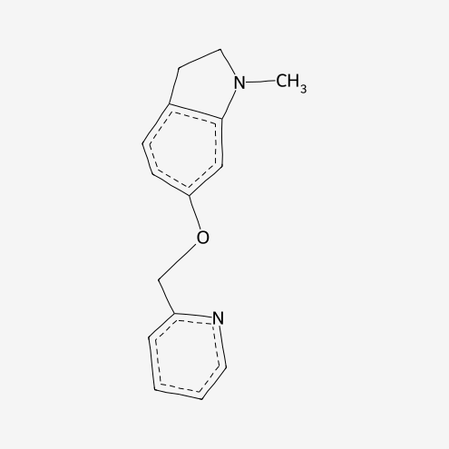 CN1CCc2ccc(OCc3ccccn3)cc21